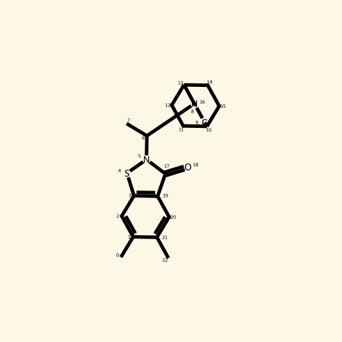 Cc1cc2sn(C(C)N3CC4CCC(CC4)C3)c(=O)c2cc1C